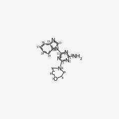 Nc1nc(N2CCOCC2)nc(-n2cnc3ccccc32)n1